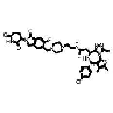 Cc1sc2c(c1C)[C@H](c1ccc(Cl)cc1)NC(CC(=O)NCCN1CCN(Cc3cc4c(cc3F)C(=O)N(C3CCC(=O)NC3=O)C4)CC1)c1nnc(C)n1-2